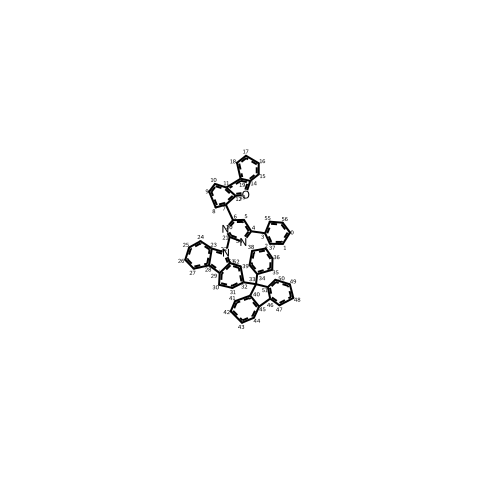 c1ccc(-c2cc(-c3cccc4c3oc3ccccc34)nc(-n3c4ccccc4c4ccc(C5(c6ccccc6)c6ccccc6-c6ccccc65)cc43)n2)cc1